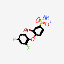 NS(=O)(=O)c1ccc(Oc2ccc(F)cc2F)c(Br)c1